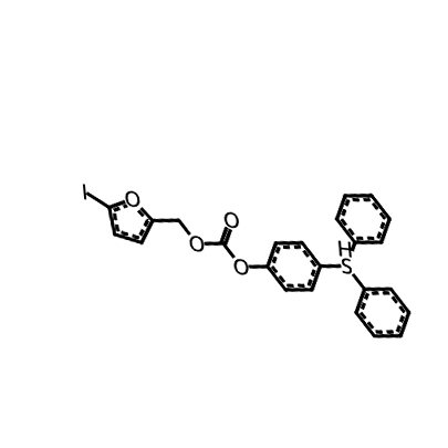 O=C(OCc1ccc(I)o1)Oc1ccc([SH](c2ccccc2)c2ccccc2)cc1